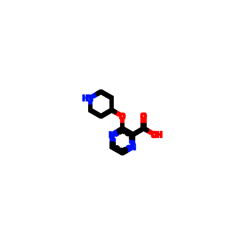 O=C(O)c1nccnc1OC1CCNCC1